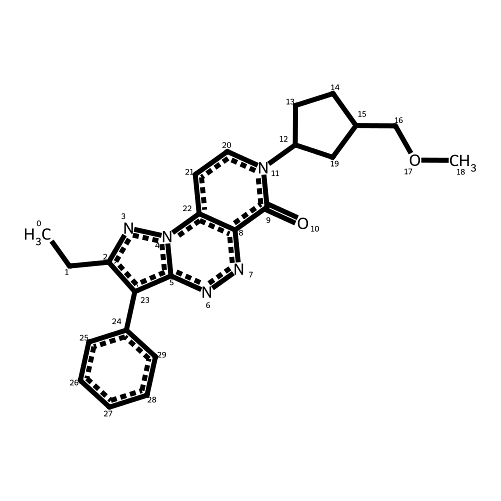 CCc1nn2c(nnc3c(=O)n(C4CCC(COC)C4)ccc32)c1-c1ccccc1